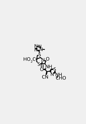 Cn1nnnc1SCC1(C(=O)O)CS[C@@H]2C(NC(=O)C(=CC#N)c3csc(NC=O)n3)C(=O)N2C1